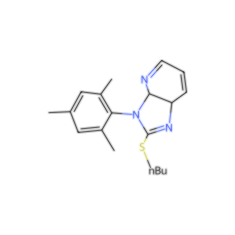 CCCCSC1=NC2C=CC=NC2N1c1c(C)cc(C)cc1C